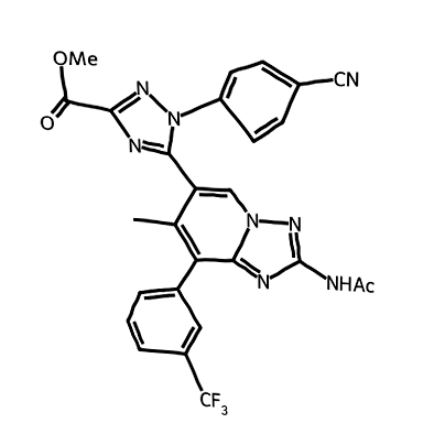 COC(=O)c1nc(-c2cn3nc(NC(C)=O)nc3c(-c3cccc(C(F)(F)F)c3)c2C)n(-c2ccc(C#N)cc2)n1